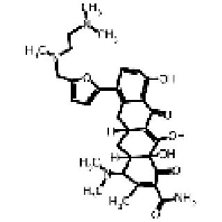 CC1=C(C(N)=O)C(=O)[C@@]2(O)C(O)=C3C(=O)c4c(O)ccc(-c5ccc(CN(C)CCN(C)C)o5)c4C[C@H]3C[C@H]2[C@@H]1N(C)C